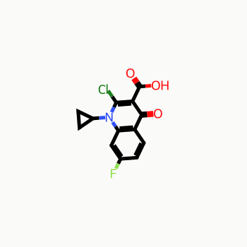 O=C(O)c1c(Cl)n(C2CC2)c2cc(F)ccc2c1=O